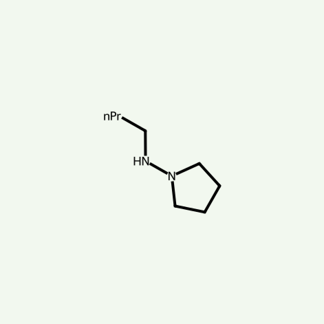 CCCCNN1CCCC1